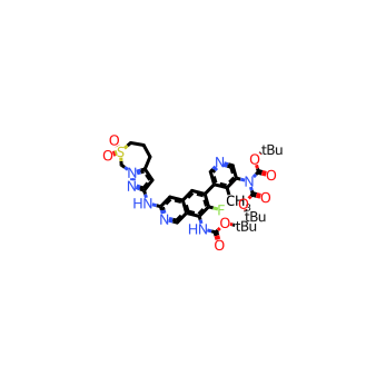 Cc1c(-c2cc3cc(Nc4cc5n(n4)CS(=O)(=O)CCC5)ncc3c(NC(=O)OC(C)(C)C)c2F)cncc1N(C(=O)OC(C)(C)C)C(=O)OC(C)(C)C